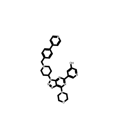 Oc1cncc(-c2nc(N3CCOCC3)c3nnn(C4CCN(Cc5ccc(-c6ccncc6)cc5)CC4)c3n2)c1